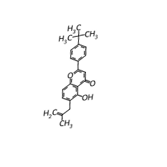 C=C(C)Cc1ccc2oc(-c3ccc(C(C)(C)C)cc3)cc(=O)c2c1O